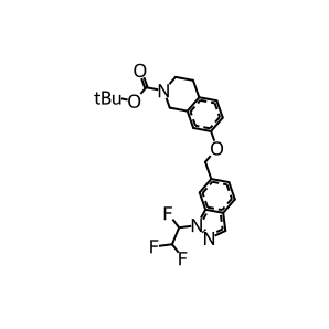 CC(C)(C)OC(=O)N1CCc2ccc(OCc3ccc4cnn(C(F)C(F)F)c4c3)cc2C1